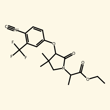 [C-]#[N+]c1ccc(OC2C(=O)N(C(C)C(=O)OCC)CC2(C)C)cc1C(F)(F)F